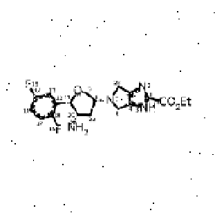 CCOC(=O)c1nc2c([nH]1)CN([C@H]1CO[C@H](c3cc(F)ccc3F)[C@@H](N)C1)C2